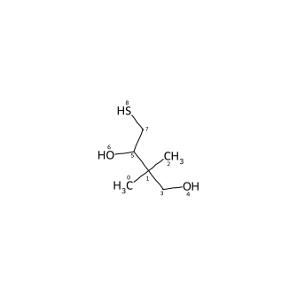 CC(C)(CO)C(O)CS